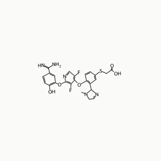 CN1CC=NC1c1cc(SCC(=O)O)ccc1Oc1c(F)cnc(Oc2cc(C(=N)N)ccc2O)c1F